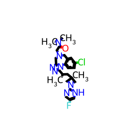 CC(CC1(C)CN(C2N=CC(F)=CN2)C1)c1nnc2n1-c1ccc(Cl)cc1CN(CC(=O)N(C)C)C2